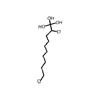 OC(O)(O)C(Cl)CCCCCCCCCl